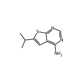 CC(C)c1cc2c(N)ncnc2s1